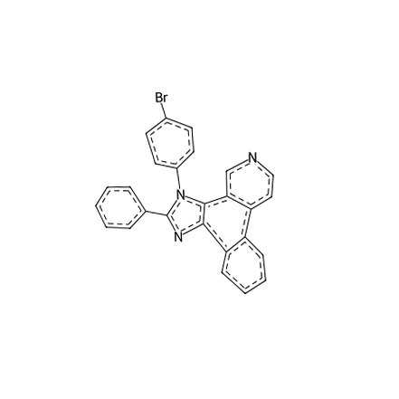 Brc1ccc(-n2c(-c3ccccc3)nc3c4ccccc4c4ccncc4c32)cc1